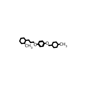 CC1CCC(COc2ccc(OCCCC3CCCCC3C)cc2)CC1